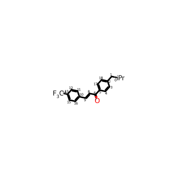 CC(C)Cc1ccc(C(=O)/C=C/c2ccc(C(F)(F)F)cc2)cc1